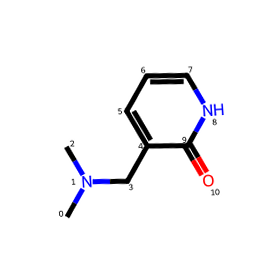 CN(C)Cc1ccc[nH]c1=O